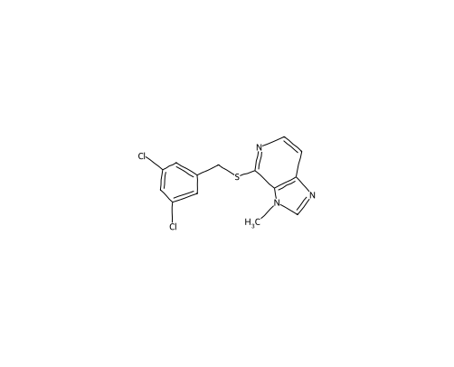 Cn1cnc2ccnc(SCc3cc(Cl)cc(Cl)c3)c21